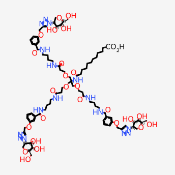 O=C(O)CCCCCCCCCCC(=O)NC(COCCC(=O)NCCCCNC(=O)c1cccc(OCc2cn([C@H]3CO[C@H](CO)[C@H](O)[C@@H]3O)nn2)c1)(COCCC(=O)NCCCCNC(=O)c1cccc(OCc2cn([C@H]3CO[C@H](CO)[C@H](O)[C@@H]3O)nn2)c1)COCCC(=O)NCCCCNC(=O)c1cccc(OCc2cn([C@H]3CO[C@H](CO)[C@H](O)[C@@H]3O)nn2)c1